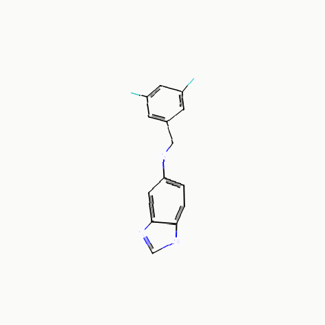 Fc1cc(F)cc(CNc2ccc3[nH]cnc3c2)c1